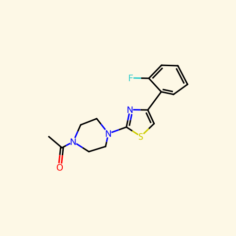 CC(=O)N1CCN(c2nc(-c3ccccc3F)cs2)CC1